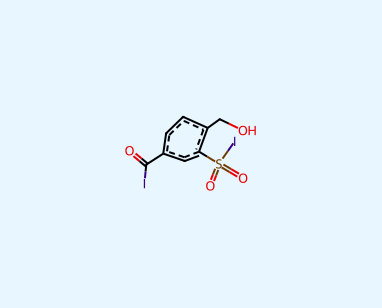 O=C(I)c1ccc(CO)c(S(=O)(=O)I)c1